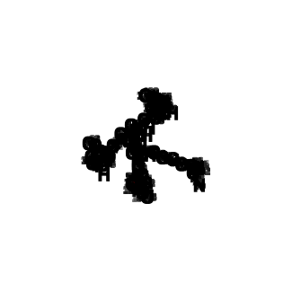 CC(=O)NC1C(OCCOCCNC(=O)C(CCC(=O)NCCOCCOC2OC(COC(C)=O)[C@H](OC(C)=O)C(OC(C)=O)C2NC(C)=O)NC(=O)CCC(NC(=O)CCOCCOCCOCCOCCOP(OCCC#N)N(C(C)C)C(C)C)C(=O)NCCOCCOC2(NC(C)=O)COC(COC(C)=O)C(OC(C)=O)C2)OC(COC(C)=O)C(OC(C)=O)C1OC(C)=O